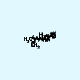 C=CCC(CC)CCNCc1ccc(-c2ccsc2)nc1